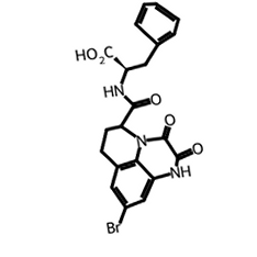 O=C(N[C@H](Cc1ccccc1)C(=O)O)C1CCc2cc(Br)cc3[nH]c(=O)c(=O)n1c23